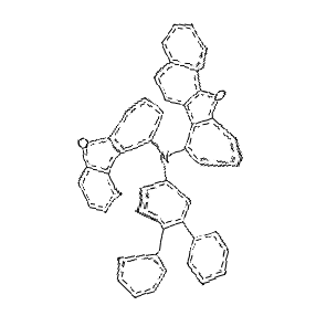 c1ccc(-c2ccc(N(c3cccc4oc5ccccc5c34)c3cccc4oc5c6ccccc6ccc5c34)cc2-c2ccccc2)cc1